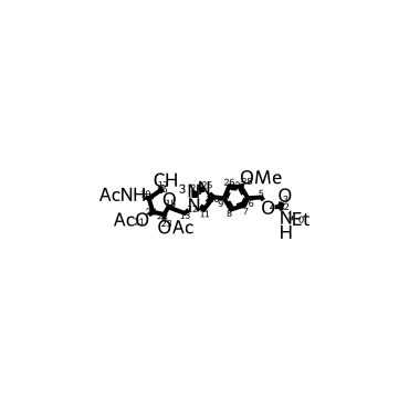 CCNC(=O)OCc1ccc(-c2cn(CC3OC(C)C(NC(C)=O)C(OC(C)=O)C3OC(C)=O)nn2)cc1OC